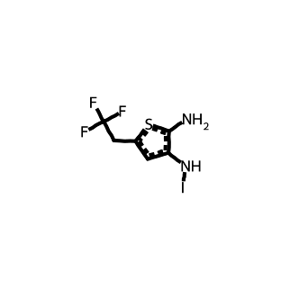 Nc1sc(CC(F)(F)F)cc1NI